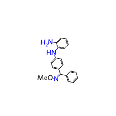 CON=C(c1ccccc1)c1ccc(Nc2ccccc2N)cc1